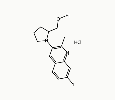 CCOCC1CCCN1c1cc2ccc(I)cc2nc1C.Cl